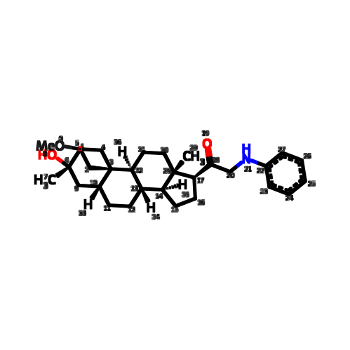 COCC[C@]12CC[C@@](C)(O)C[C@H]1CC[C@H]1[C@@H]3CC[C@H](C(=O)CNc4ccccc4)[C@@]3(C)CC[C@@H]12